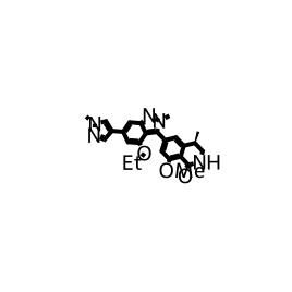 CCOc1cc(-c2cnn(C)c2)cc2nn(C)c(-c3cc(OC)c4c(c3)[C@@H](C)CNC4=O)c12